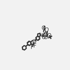 COC(=O)C[C@H](C(=O)N1CCc2cc(OCc3ccc(C4CCCCC4)cc3C(F)(F)F)ccc21)N(C)C(=O)OC(C)(C)C